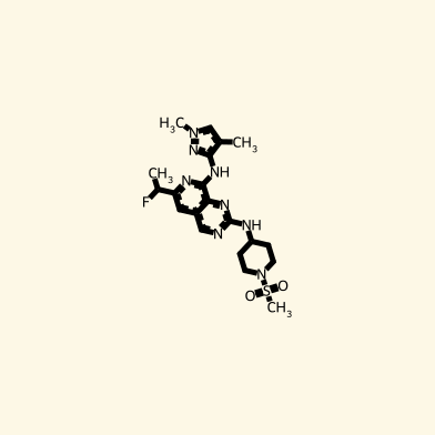 Cc1cn(C)nc1Nc1nc(C(C)F)cc2cnc(NC3CCN(S(C)(=O)=O)CC3)nc12